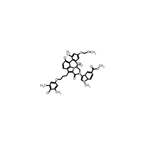 COCOc1cc(C)c(-c2c(Cl)ccc3c(CCCOc4cc(C)c(Cl)c(C)c4)c4n(c23)C(C)CN(C2=CN(C)C3C=CC(C(=O)OC)=CC23)C4=O)c(C)c1